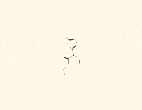 CCOC(=O)C(OC)c1nnc(S)o1